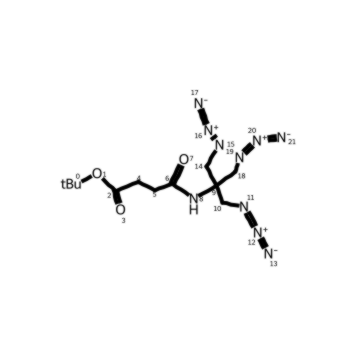 CC(C)(C)OC(=O)CCC(=O)NC(CN=[N+]=[N-])(CN=[N+]=[N-])CN=[N+]=[N-]